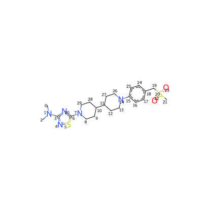 CN(C)c1nsc(N2CCC(C3CCN(c4ccc(CS(C)(=O)=O)cc4)CC3)CC2)n1